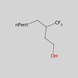 CCCCCCC(CCO)C(F)(F)F